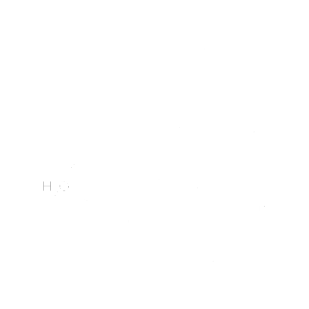 O.c1ccc2cc3ccccc3cc2c1.c1ccccc1